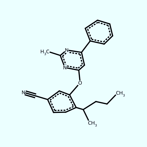 CCCC(C)c1ccc(C#N)cc1Oc1cc(-c2ccccc2)nc(C)n1